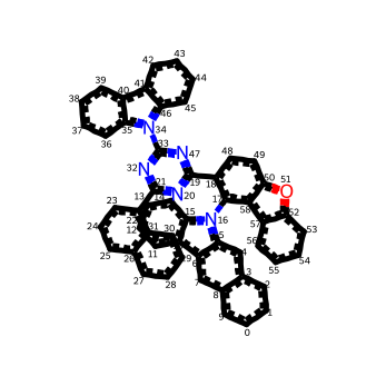 c1ccc2cc3c(cc2c1)c1ccccc1n3-c1c(-c2nc(-c3cccc4ccccc34)nc(-n3c4ccccc4c4ccccc43)n2)ccc2oc3ccccc3c12